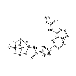 C=CC(=O)Nc1cccc2ccc(-c3csc(C(=O)NC4CC5CC6C(C4)CC6(C)C5)n3)cc12